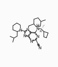 CC(C)CC1CCCCN1c1nc2nc(C#N)nc(N[C@H](C)C3CCC3)c2n1CC1CCC(C)CC1